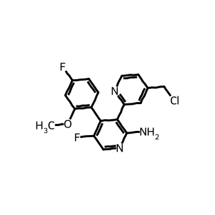 COc1cc(F)ccc1-c1c(F)cnc(N)c1-c1cc(CCl)ccn1